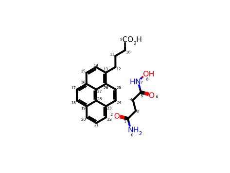 NC(=O)CCC(=O)NO.O=C(O)CCCc1ccc2ccc3cccc4ccc1c2c34